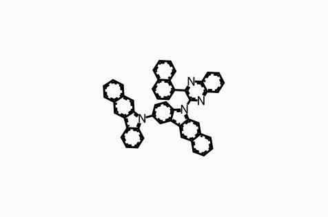 c1ccc2cc3c(cc2c1)c1ccccc1n3-c1ccc2c(c1)c1cc3ccccc3cc1n2-c1nc2ccccc2nc1-c1cccc2ccccc12